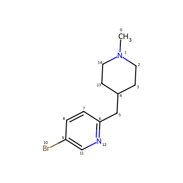 CN1CCC(Cc2ccc(Br)cn2)CC1